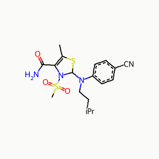 CC1=C(C(N)=O)N(S(C)(=O)=O)C(N(CCC(C)C)c2ccc(C#N)cc2)S1